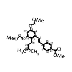 COCOc1cc(C=Cc2ccc(C(=O)OC)cc2)c(CC=C(C)C)c(OCOC)c1